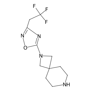 FC(F)(F)Cc1noc(N2CC3(CCNCC3)C2)n1